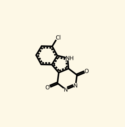 O=C1N=NC(=O)c2c1[nH]c1c(Cl)cccc21